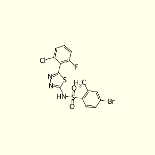 Cc1cc(Br)ccc1S(=O)(=O)Nc1nnc(-c2c(F)cccc2Cl)s1